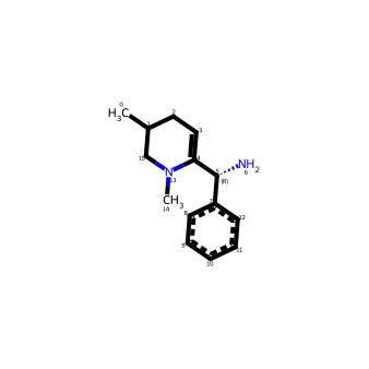 CC1CC=C([C@H](N)c2ccccc2)N(C)C1